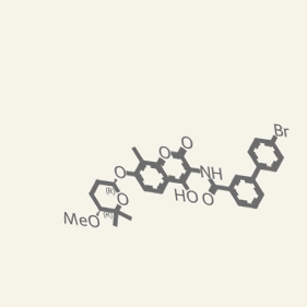 CO[C@@H]1CC[C@H](Oc2ccc3c(O)c(NC(=O)c4cccc(-c5ccc(Br)cc5)c4)c(=O)oc3c2C)OC1(C)C